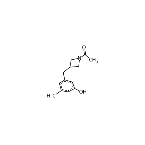 CC(=O)N1CC(Cc2cc(C)cc(O)c2)C1